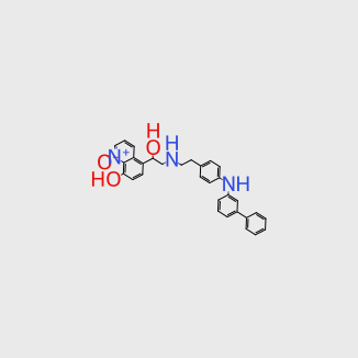 [O-][n+]1cccc2c([C@@H](O)CNCCc3ccc(Nc4cccc(-c5ccccc5)c4)cc3)ccc(O)c21